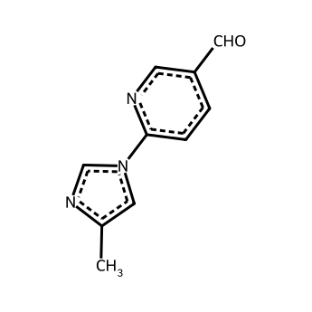 Cc1cn(-c2ccc(C=O)cn2)cn1